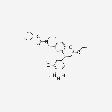 CCOC(=O)CC(c1ccc(C)c(CN(C)C(=O)OC2CCCC2)c1)c1cc(OC)c2c(nnn2C)c1C